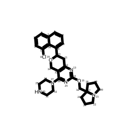 Clc1cccc2cccc(C3Cc4nc(OCC56CCCN5CCC6)nc(N5CCNCC5)c4CO3)c12